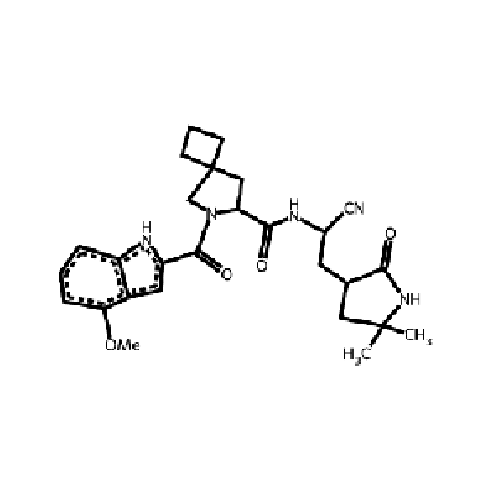 COc1cccc2[nH]c(C(=O)N3CC4(CCC4)CC3C(=O)NC(C#N)CC3CC(C)(C)NC3=O)cc12